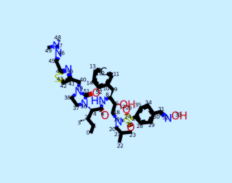 CC[C@H](C)[C@@H](C(=O)N[C@@H](Cc1ccccc1)[C@H](O)CN(CC(C)C)S(=O)(=O)c1ccc(C=NO)cc1)N1CCN(Cc2csc(C=NN(C)C)n2)C1=O